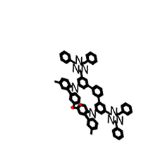 Cc1ccc2c(c1)c1cc(C)ccc1n2-c1cc(-c2cccc(-c3cc(-c4nc(-c5ccccc5)nc(-c5ccccc5)n4)cc(-n4c5ccc(C)cc5c5cc(C)ccc54)c3)c2)cc(-c2nc(-c3ccccc3)nc(-c3ccccc3)n2)c1